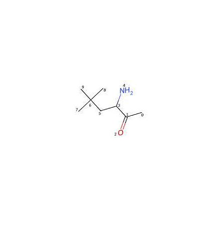 CC(=O)C(N)CC(C)(C)C